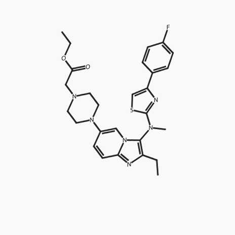 CCOC(=O)CN1CCN(c2ccc3nc(CC)c(N(C)c4nc(-c5ccc(F)cc5)cs4)n3c2)CC1